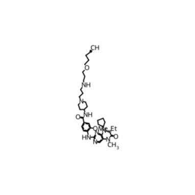 C#CCCCOCCCNCCCN1CCC(NC(=O)c2ccc(Nc3ncc4c(n3)N(C3CCCC3)[C@H](CC)C(=O)N4C)c(OC)c2)CC1